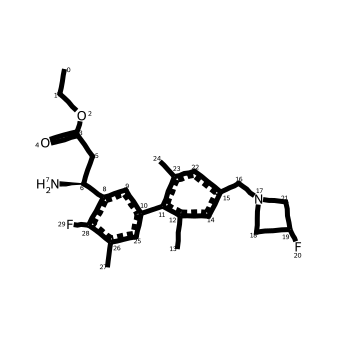 CCOC(=O)C[C@H](N)c1cc(-c2c(C)cc(CN3CC(F)C3)cc2C)cc(C)c1F